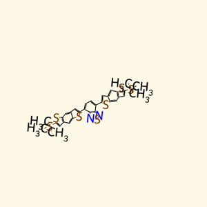 CS(C)(C)c1cc2cc3sc(-c4ccc(-c5cc6cc7sc(S(C)(C)C)cc7cc6s5)c5nsnc45)cc3cc2s1